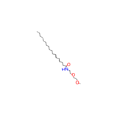 CCCCCCCCCCCCCCCCCC(=O)NCCOCCOC